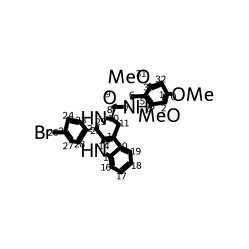 COc1cc(OC)c(CNC(=O)[C@H]2Cc3c([nH]c4ccccc34)[C@H](c3ccc(Br)cc3)N2)c(OC)c1